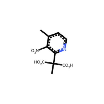 Cc1ccnc(C(C)(C(=O)O)C(=O)O)c1[N+](=O)[O-]